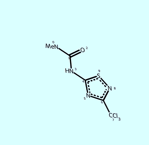 CNC(=O)Nc1nc(C(Cl)(Cl)Cl)ns1